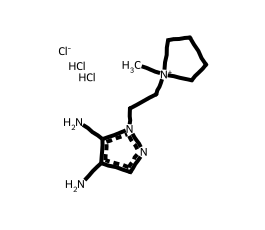 C[N+]1(CCn2ncc(N)c2N)CCCC1.Cl.Cl.[Cl-]